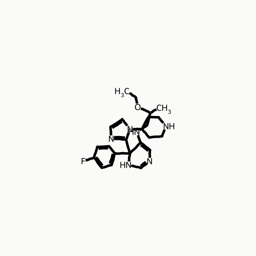 CCOC(C)CNC1=CN=CNC1(c1ccc(F)cc1)c1nccn1C1CCNCC1